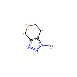 CC(C)n1nnc2c1CCSC2